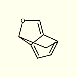 C1=C2CC3OC=C2C3=C1